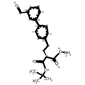 CC(C)(C)OC(=O)[C@@H](CCc1ccc(-c2cccc(C=O)c2)cc1)C(=O)ON